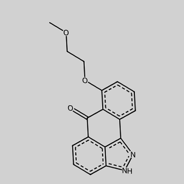 COCCOc1cccc2c1C(=O)c1cccc3[nH]nc-2c13